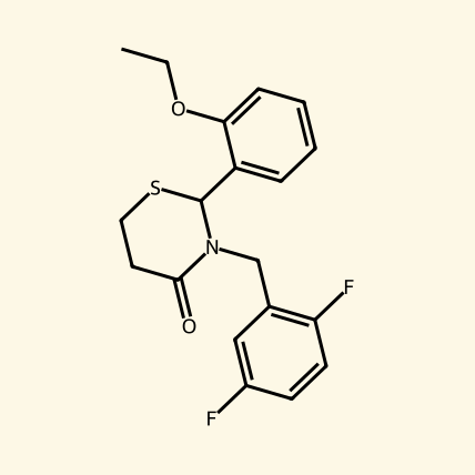 CCOc1ccccc1C1SCCC(=O)N1Cc1cc(F)ccc1F